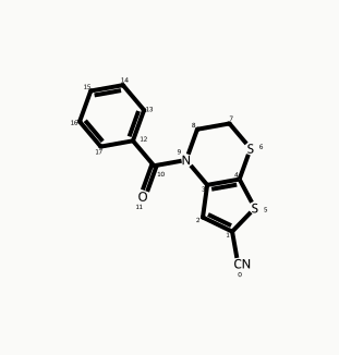 N#Cc1cc2c(s1)SCCN2C(=O)c1ccccc1